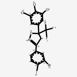 FC(F)(F)C1(c2cc(Cl)c(Cl)c(Cl)c2)CC(c2ccc(I)c(Br)c2)=NO1